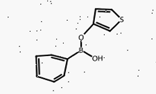 OB(Oc1ccsc1)c1ccccc1